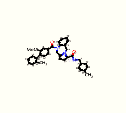 COc1cc(C(=O)N2Cc3ccc(C(=O)NCc4ccc(C)cc4)n3Cc3ccccc32)ccc1-c1ccccc1C